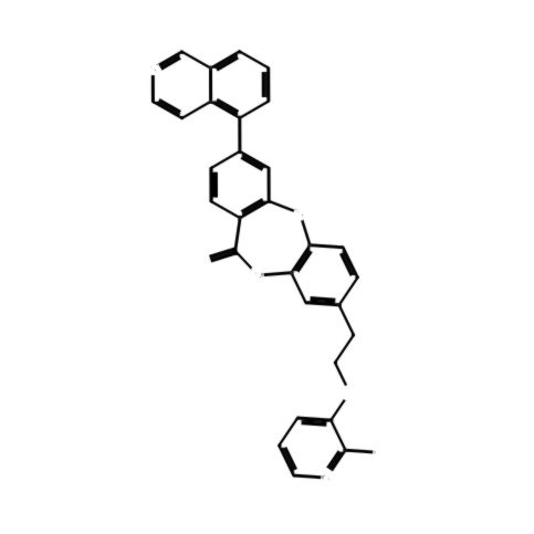 O=C1Nc2cc(CCOc3cccnc3Cl)ccc2Nc2cc(-c3cccc4cnccc34)ccc21